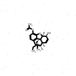 CC[N+]1(C)CC[C@]23c4c5ccc(OC(C)=O)c4O[C@H]2[C@@H](O)C=C[C@H]3[C@H]1C5